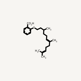 CC(C)=CCC/C(C)=C/CCC(C)CCSc1ccccc1C(=O)O